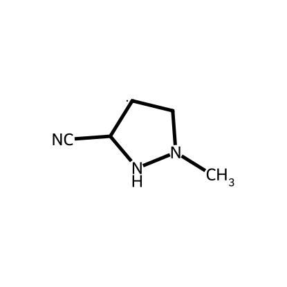 CN1C[CH]C(C#N)N1